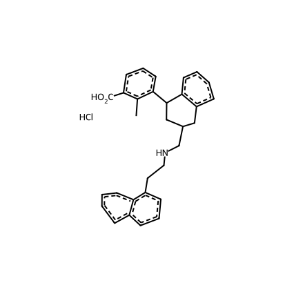 Cc1c(C(=O)O)cccc1C1CC(CNCCc2cccc3ccccc23)Cc2ccccc21.Cl